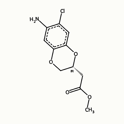 COC(=O)C[C@@H]1COc2cc(N)c(Cl)cc2O1